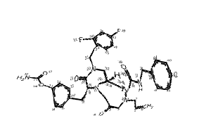 C=CCN1CC(=O)N2[C@@H](Cc3ccc(OC(N)=O)cc3)C(=O)N(Cc3ccc(F)cc3F)C[C@@H]2N1C(=O)NCc1ccccc1